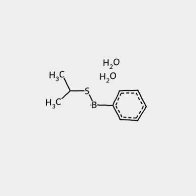 CC(C)S[B]c1ccccc1.O.O